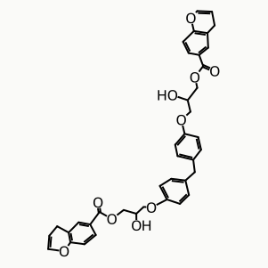 O=C(OCC(O)COc1ccc(Cc2ccc(OCC(O)COC(=O)c3ccc4c(c3)CC=CO4)cc2)cc1)c1ccc2c(c1)CC=CO2